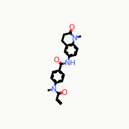 C=CC(=O)N(C)c1ccc(C(=O)Nc2ccc3c(c2)CCC(=O)N3C)cc1